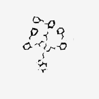 Cl.Cl.Cn1c(=O)c2c(ncn2CCN(CCN(CC(O)COc2ccccc2OCc2ccccc2)CC(O)COc2ccccc2OCc2ccccc2)CC(O)COc2ccccc2OCc2ccccc2)n(C)c1=O